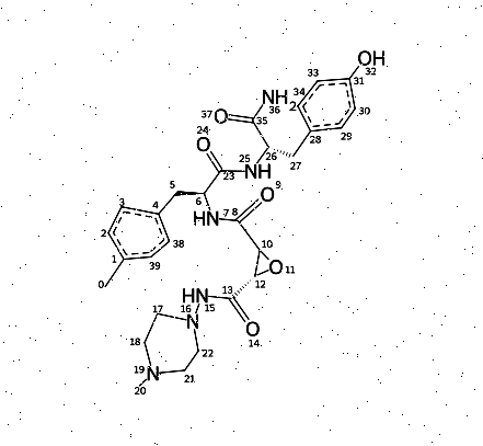 Cc1ccc(C[C@H](NC(=O)C2O[C@@H]2C(=O)NN2CCN(C)CC2)C(=O)N[C@@H](Cc2ccc(O)cc2)C(N)=O)cc1